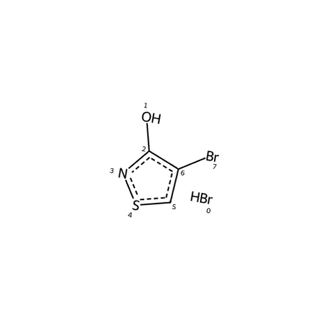 Br.Oc1nscc1Br